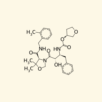 Cc1ccccc1CNC(=O)[C@H]1N(C(=O)[C@@H](O)[C@H](Cc2ccccc2)NC(=O)O[C@H]2CCOC2)COC1(C)C